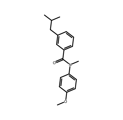 COc1ccc(N(C)C(=O)c2cccc(CC(C)C)c2)cc1